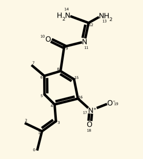 CC(C)=Cc1cc(C)c(C(=O)N=C(N)N)cc1[N+](=O)[O-]